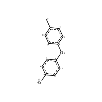 Cc1ccc(Oc2ccc(S)cc2)cc1